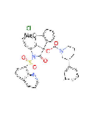 COc1ccccc1C1(OC(=O)N2CCCC(c3ccccc3)C2)C(=O)N(S(=O)(=O)c2cccc3cccnc23)c2ccc(Cl)cc21